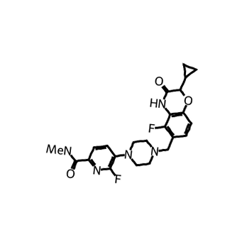 CNC(=O)c1ccc(N2CCN(Cc3ccc4c(c3F)NC(=O)C(C3CC3)O4)CC2)c(F)n1